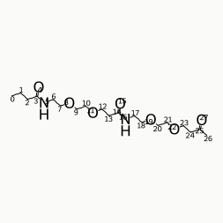 CCCC(=O)NCCOCCOCCC(=O)NCCOCCOCCC(C)=O